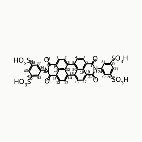 O=C1c2ccc3c4ccc5c6c(ccc(c7ccc(c2c37)C(=O)N1c1cc(S(=O)(=O)O)cc(S(=O)(=O)O)c1)c64)C(=O)N(c1cc(S(=O)(=O)O)cc(S(=O)(=O)O)c1)C5=O